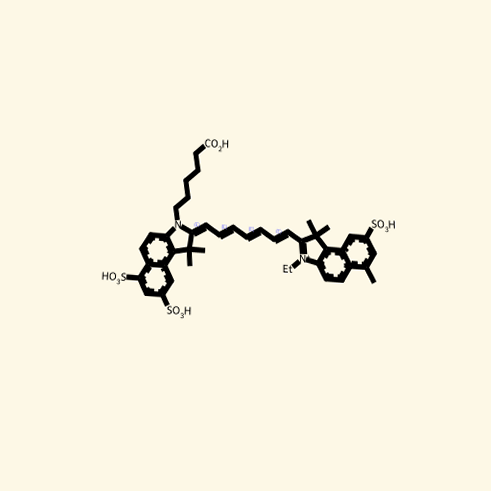 CC[N+]1=C(/C=C/C=C/C=C/C=C2/N(CCCCCC(=O)O)c3ccc4c(S(=O)(=O)O)cc(S(=O)(=O)O)cc4c3C2(C)C)C(C)(C)c2c1ccc1c(C)cc(S(=O)(=O)O)cc21